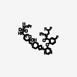 CCCNS(=O)(=O)N[C@@H]1CC[C@](O)(CN2CCC3(CC2)CN(c2ncncc2Oc2ccc(F)cc2C(=O)N(CC(F)F)C(C)C)C3)OC1